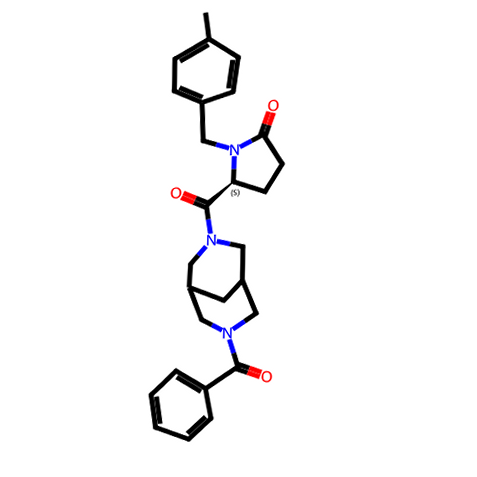 Cc1ccc(CN2C(=O)CC[C@H]2C(=O)N2CC3CC(CN(C(=O)c4ccccc4)C3)C2)cc1